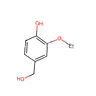 CCOc1cc(CO)ccc1O